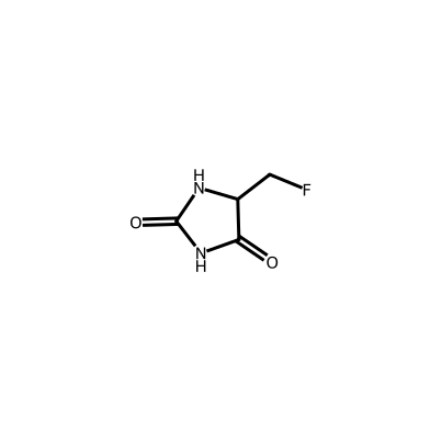 O=C1NC(=O)C(CF)N1